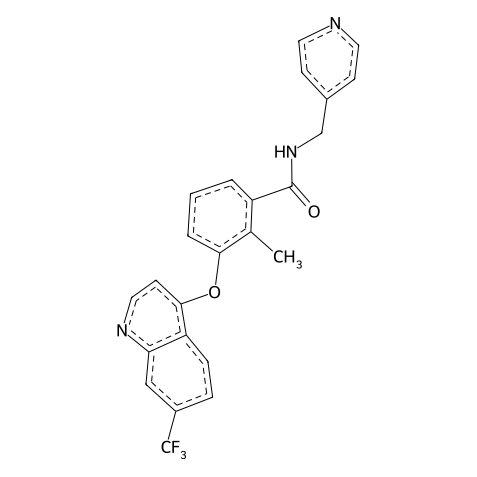 Cc1c(Oc2ccnc3cc(C(F)(F)F)ccc23)cccc1C(=O)NCc1ccncc1